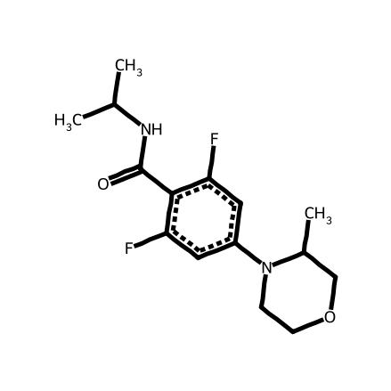 CC(C)NC(=O)c1c(F)cc(N2CCOCC2C)cc1F